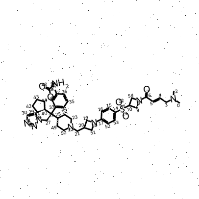 CN(C)C/C=C/C(=O)N1CC(S(=O)(=O)c2ccc(N3CC(CN4CCC([C@@](Cn5ccnn5)(c5cccc(F)c5)[C@H]5CCC[C@@H]5OC(N)=O)CC4)C3)cc2)C1